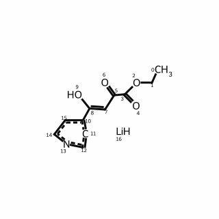 CCOC(=O)C(=O)C=C(O)c1ccncc1.[LiH]